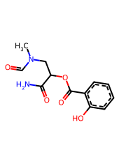 CN(C=O)CC(OC(=O)c1ccccc1O)C(N)=O